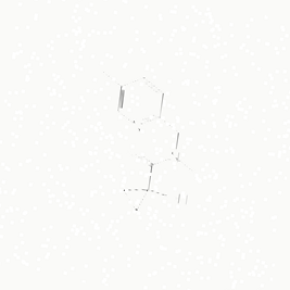 Cc1ccc(CN(C)C(=O)C2(O)CC2)nc1